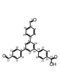 O=Cc1ccc(-c2cc(-c3ccc(C=O)cc3)cc(-c3ccc(C(=O)O)cc3)c2)cc1